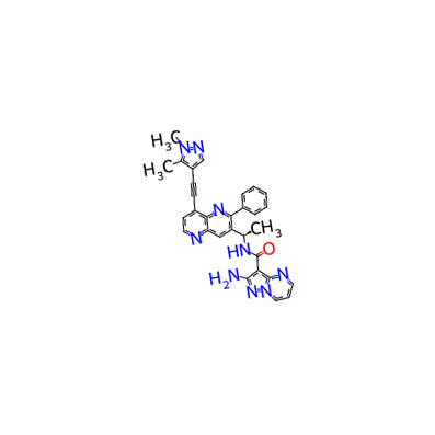 Cc1c(C#Cc2ccnc3cc([C@@H](C)NC(=O)c4c(N)nn5cccnc45)c(-c4ccccc4)nc23)cnn1C